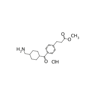 COC(=O)CCc1ccc(C(=O)C2CCC(CN)CC2)cc1.Cl